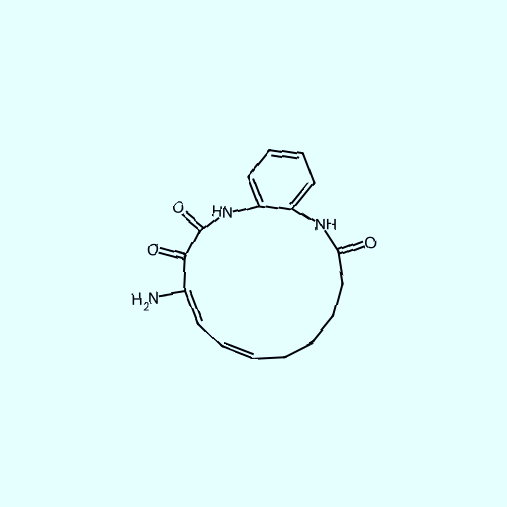 N/C1=C/C=CCCCCC(=O)Nc2ccccc2NC(=O)C1=O